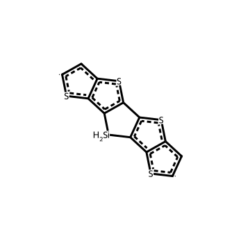 [c]1cc2sc3c(c2s1)[SiH2]c1c-3sc2c[c]sc12